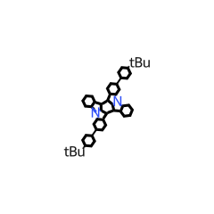 CC(C)(C)c1ccc(-c2ccc3c4c5c6ccccc6n6c7cc(-c8ccc(C(C)(C)C)cc8)ccc7c(c7c8ccccc8n(c3c2)c74)c56)cc1